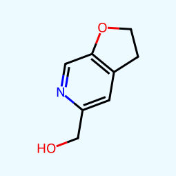 OCc1cc2c(cn1)OCC2